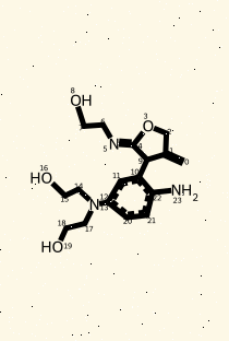 C=C1COC(=NCCO)C1c1cc(N(CCO)CCO)ccc1N